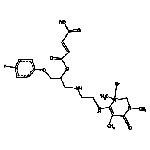 CC1=C(NCCNCC(COc2ccc(F)cc2)OC(=O)/C=C/C(=O)O)[N+](C)([O-])CN(C)C1=O